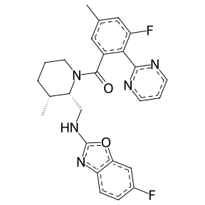 Cc1cc(F)c(-c2ncccn2)c(C(=O)N2CCC[C@@H](C)[C@H]2CNc2nc3ccc(F)cc3o2)c1